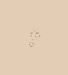 NC1=NC2(c3cc(NC(=O)c4ncc(Cl)cc4Cl)ccc3F)CCOCC2CS1